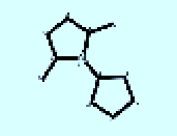 CC1CCC(C)N1C1CCCC1